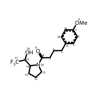 COc1ccc(CCCC(=O)N2CCCC2C(O)C(F)(F)F)cc1